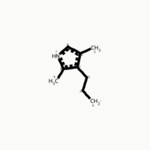 [CH2]CCc1c(C)c[nH]c1C